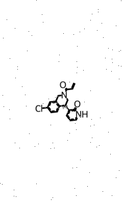 C=CC(=O)N1Cc2cc(Cl)ccc2[C@H](c2ccc[nH]c2=O)C1